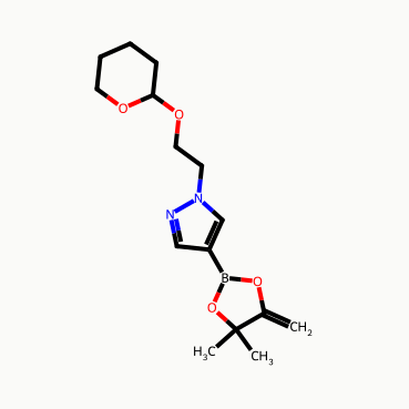 C=C1OB(c2cnn(CCOC3CCCCO3)c2)OC1(C)C